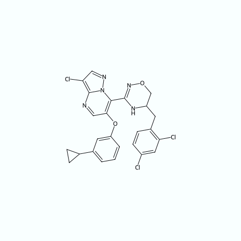 Clc1ccc(CC2CON=C(c3c(Oc4cccc(C5CC5)c4)cnc4c(Cl)cnn34)N2)c(Cl)c1